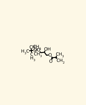 C=C(C)C(=O)OCC(O)CO[Si](C)(C)C(C)(C)C